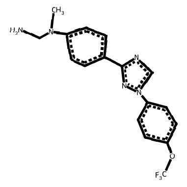 CN(CN)c1ccc(-c2ncn(-c3ccc(OC(F)(F)F)cc3)n2)cc1